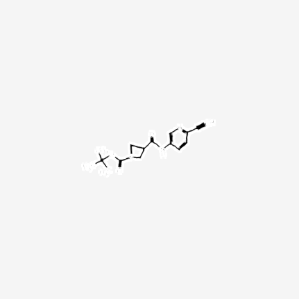 C#Cc1ccc(NC(=O)C2CN(C(=O)OC(C)(C)C)C2)cn1